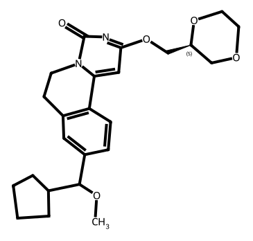 COC(c1ccc2c(c1)CCn1c-2cc(OC[C@@H]2COCCO2)nc1=O)C1CCCC1